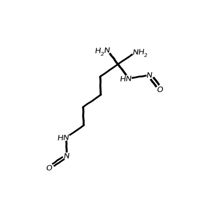 NC(N)(CCCCNN=O)NN=O